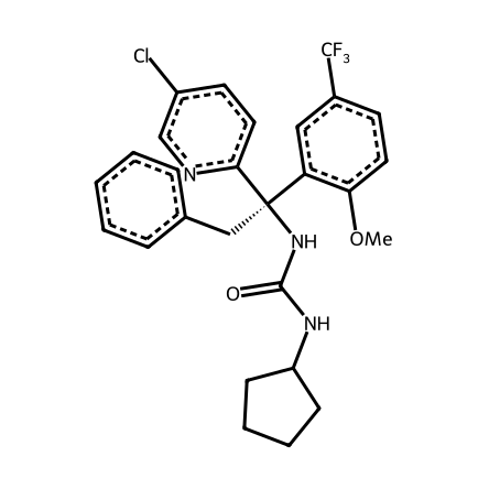 COc1ccc(C(F)(F)F)cc1[C@@](Cc1ccccc1)(NC(=O)NC1CCCC1)c1ccc(Cl)cn1